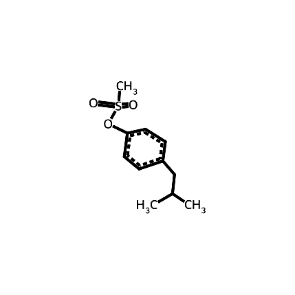 CC(C)Cc1ccc(OS(C)(=O)=O)cc1